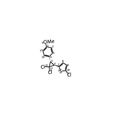 COc1ccc([C@@H]2[C@@H](c3ccc(Cl)s3)C2(Cl)Cl)cc1